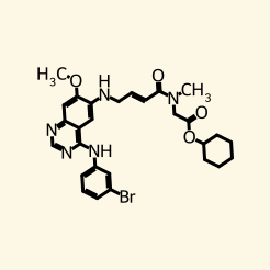 COc1cc2ncnc(Nc3cccc(Br)c3)c2cc1NCC=CC(=O)N(C)CC(=O)OC1CCCCC1